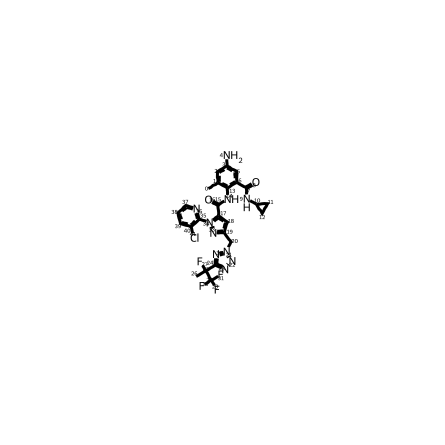 Cc1cc(N)cc(C(=O)NC2CC2)c1NC(=O)c1cc(Cn2nnc(C(C)(F)C(F)(F)F)n2)nn1-c1ncccc1Cl